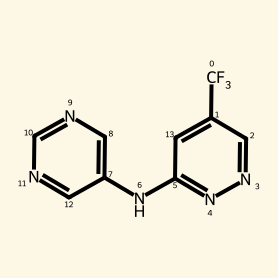 FC(F)(F)c1cnnc(Nc2cncnc2)c1